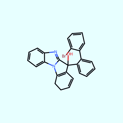 OC1(c2ccccc2-c2ccccc2Br)C2=C(CCC=C2)n2c1nc1ccccc12